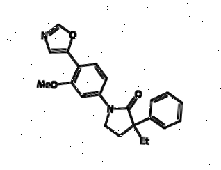 CCC1(c2ccccc2)CCN(c2ccc(-c3cnco3)c(OC)c2)C1=O